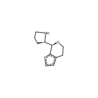 c1cc2c(s1)[C@@H]([C@H]1CCCN1)OCC2